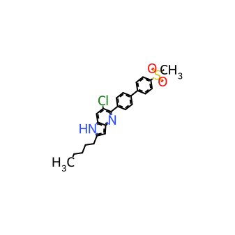 CCCCCc1cc2nc(-c3ccc(-c4ccc(S(C)(=O)=O)cc4)cc3)c(Cl)cc2[nH]1